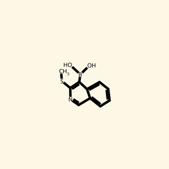 CSc1ncc2ccccc2c1B(O)O